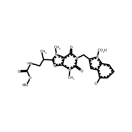 CC(CNC(=O)OC(C)(C)C)c1nc2c(c(=O)n(Cc3cc4c(Cl)cccc4n3C(=O)O)c(=O)n2C)n1C